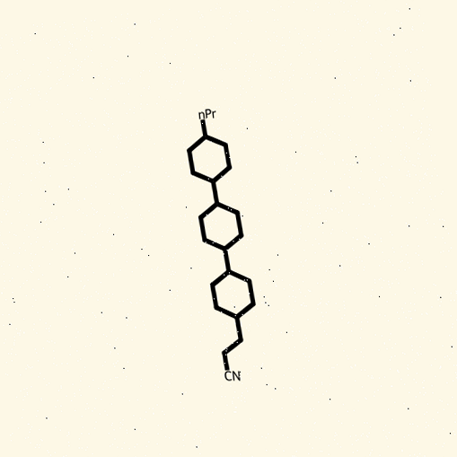 CCCC1CCC(C2CCC(C3CCC(CCC#N)CC3)CC2)CC1